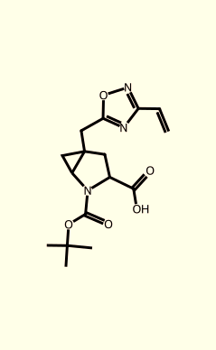 C=Cc1noc(CC23CC(C(=O)O)N(C(=O)OC(C)(C)C)C2C3)n1